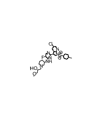 COCC(O)CN1CCCC(Nc2nc(-c3cn(S(=O)(=O)c4ccc(C)cc4)c4ncc(Cl)cc34)ncc2F)C1